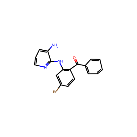 Nc1cccnc1Nc1cc(Br)ccc1C(=O)c1ccccc1